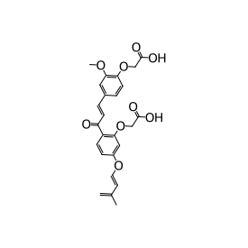 C=C(C)/C=C/Oc1ccc(C(=O)/C=C/c2ccc(OCC(=O)O)c(OC)c2)c(OCC(=O)O)c1